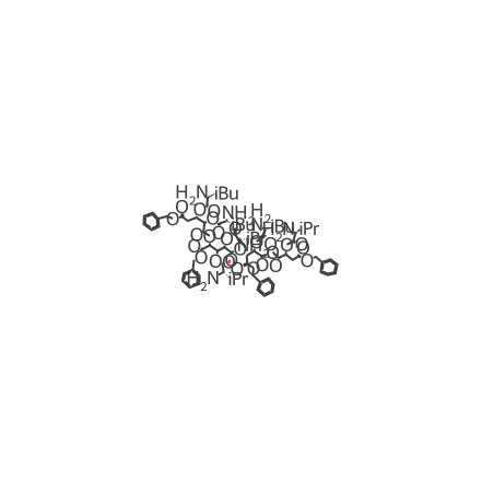 CC[C@H](C)[C@H](N)C(=O)OC(CC(=O)OCc1ccccc1)C(OC(=O)[C@@H](N)[C@@H](C)CC)C(=O)OC(C(=O)OCc1ccccc1)C(OC(=O)[C@@H](N)C(C)C)C(OC(=O)[C@@H](N)C(C)C)C(=O)OC(C(=O)OCc1ccccc1)C(OC(=O)[C@@H](N)[C@@H](C)CC)C(=O)OC(=O)C(CC(=O)OCc1ccccc1)OC(=O)[C@@H](N)C(C)C